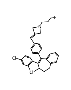 CC1CCc2ccccc2C(c2ccc(C=C3CN(CCCF)C3)cc2)=C1c1ccc(Cl)cc1Cl